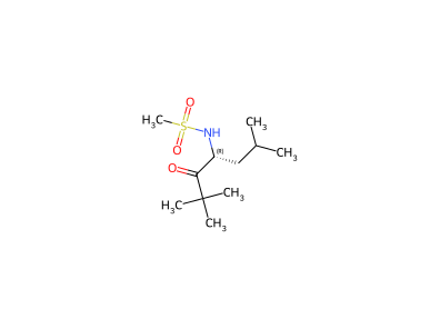 CC(C)C[C@@H](NS(C)(=O)=O)C(=O)C(C)(C)C